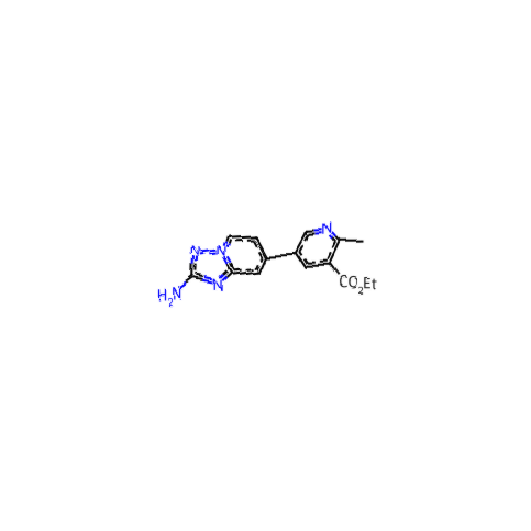 CCOC(=O)c1cc(-c2ccn3nc(N)nc3c2)cnc1C